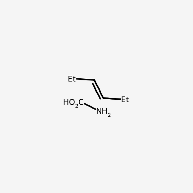 CCC=CCC.NC(=O)O